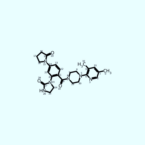 Cc1cnc(N2CCN(C(=O)c3ccc(N4CCCC4=O)cc3N3CCNC3=O)CC2)c(C)c1